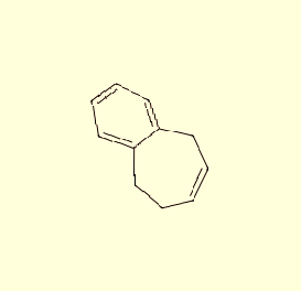 C1=CCc2ccccc2CC1